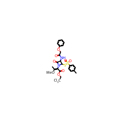 CO/C(C)=C(\C(=O)OCC(Cl)(Cl)Cl)N1C(=O)C(NC(=O)COc2ccccc2)C1SS(=O)(=O)c1ccc(C)cc1